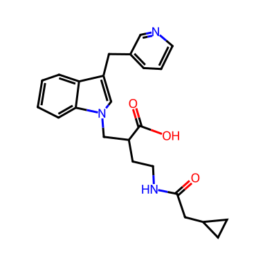 O=C(CC1CC1)NCCC(Cn1cc(Cc2cccnc2)c2ccccc21)C(=O)O